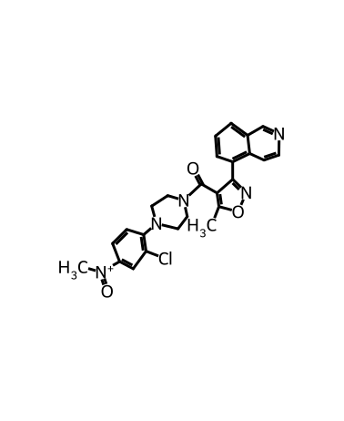 Cc1onc(-c2cccc3cnccc23)c1C(=O)N1CCN(c2ccc([N+](C)=O)cc2Cl)CC1